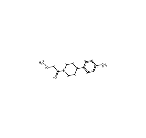 COCC(=O)N1CCC(c2ccc(C)cc2)CC1